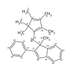 CC1=C(C)C(C)(C)[C]([Zr][C]2(C)C(c3ccccc3)=Cc3ccccc32)=C1C